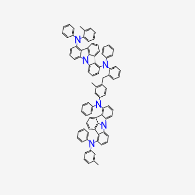 Cc1cccc(N(c2ccccc2)c2cccc3c2c2cccc4c5c(N(c6ccccc6)c6ccc(Cc7ccccc7N(c7ccccc7)c7cccc8c7c7cccc9c%10c(N(c%11ccccc%11)c%11ccccc%11C)cccc%10n8c97)c(C)c6)cccc5n3c24)c1